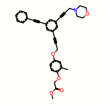 COC(=O)COc1ccc(OCC#Cc2cc(C#CCN3CCOCC3)cc(C#Cc3ccccc3)c2)cc1C